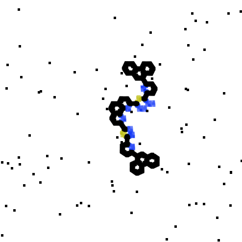 N=C(SC(=N)c1ccc2ccc3ccc(-c4nnc(-c5cccc(-c6cc7ccccc7c7ccccc67)n5)s4)nc3c2n1)c1cccc(-c2cc3ccccc3c3ccccc23)n1